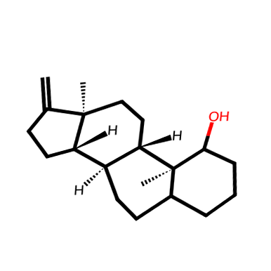 C=C1CC[C@H]2[C@@H]3CCC4CCCC(O)[C@]4(C)[C@H]3CC[C@]12C